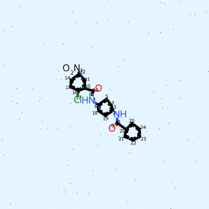 O=C(Nc1ccc(NC(=O)c2cc([N+](=O)[O-])ccc2Cl)cc1)c1ccccc1